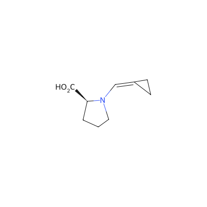 O=C(O)[C@@H]1CCCN1C=C1CC1